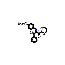 COc1ccc(/C=C(\C(=O)c2ccccc2)C(=O)C2SCCCS2)cc1